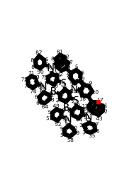 c1ccc(-c2ccc3c4ccc(-c5ccccc5)cc4n(-c4c5c(cc6c4Sc4cc(N(c7ccccc7)c7ccccc7)cc7c4B6c4ccccc4N7c4ccccc4)B4c6ccccc6N(c6ccccc6)c6cc(N(c7ccccc7)c7ccccc7)cc(c64)S5)c3c2)cc1